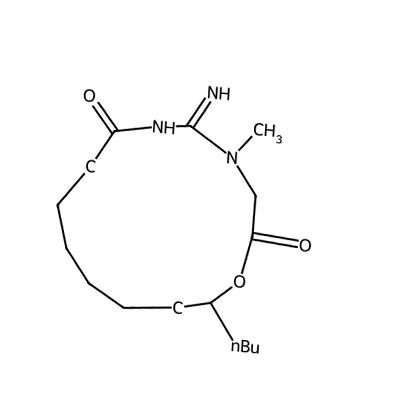 CCCCC1CCCCCCC(=O)NC(=N)N(C)CC(=O)O1